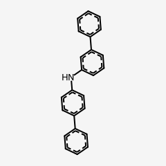 c1ccc(-c2ccc(Nc3cccc(-c4ccccc4)c3)cc2)cc1